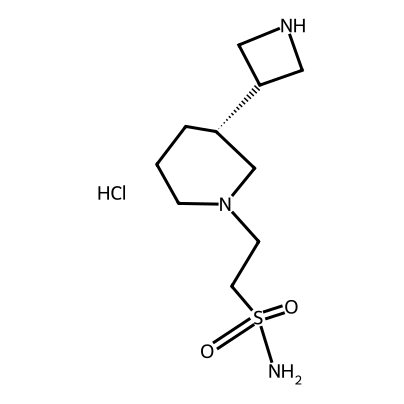 Cl.NS(=O)(=O)CCN1CCC[C@H](C2CNC2)C1